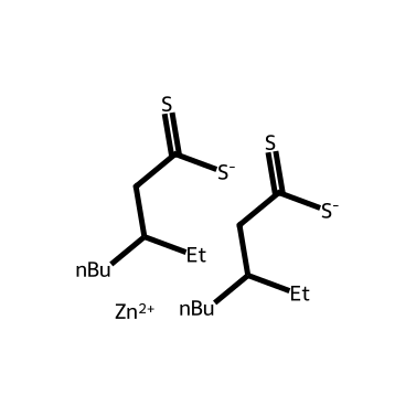 CCCCC(CC)CC(=S)[S-].CCCCC(CC)CC(=S)[S-].[Zn+2]